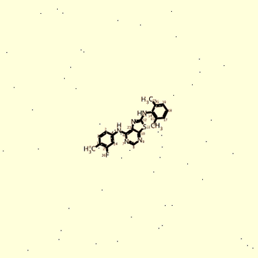 Cc1ccc(Nc2ncnc3sc(Nc4c(C)cccc4C)nc23)cc1F